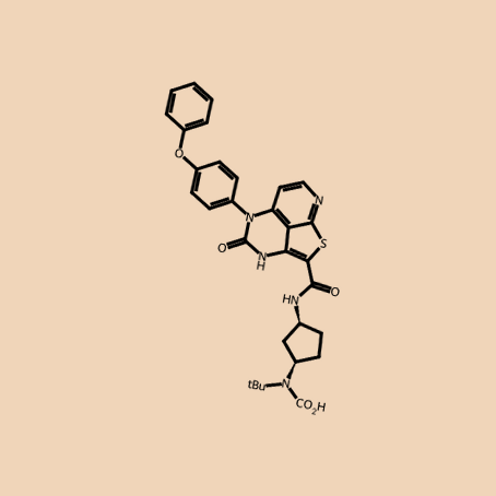 CC(C)(C)N(C(=O)O)[C@@H]1CC[C@H](NC(=O)c2sc3nccc4c3c2NC(=O)N4c2ccc(Oc3ccccc3)cc2)C1